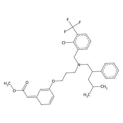 COC(=O)C=C1C=C(OCCCN(Cc2cccc(C(F)(F)F)c2Cl)CC(CC(C)C)c2ccccc2)C=CC1